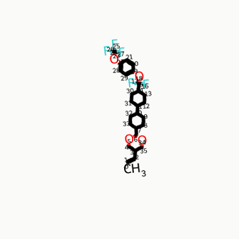 C/C=C/C1COC(C2CCC(C3CCC(C(F)(F)Oc4ccc(OC(F)(F)F)cc4)CC3)CC2)OC1